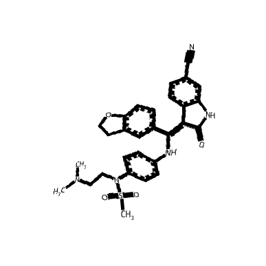 CN(C)CCN(c1ccc(N/C(=C2\C(=O)Nc3cc(C#N)ccc32)c2ccc3c(c2)CCO3)cc1)S(C)(=O)=O